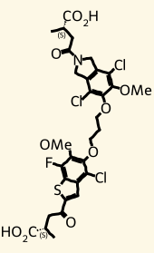 COc1c(Cl)c2c(c(Cl)c1OCCCOc1c(OC)c(F)c3sc(C(=O)C[C@H](C)C(=O)O)cc3c1Cl)CN(C(=O)C[C@H](C)C(=O)O)C2